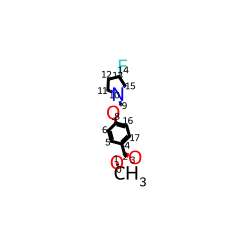 COC(=O)c1ccc(OCN2CC[C@H](F)C2)cc1